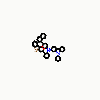 c1ccc(-n2c3ccccc3c3ccc(N(c4ccc(-c5cccc6ccccc56)cc4)c4ccccc4-c4ccc5c(c4)sc4ccccc45)cc32)cc1